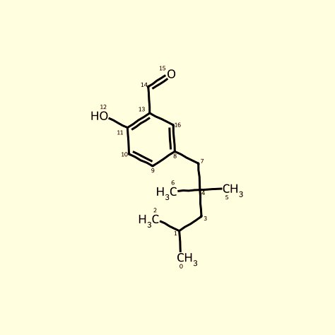 CC(C)CC(C)(C)Cc1ccc(O)c(C=O)c1